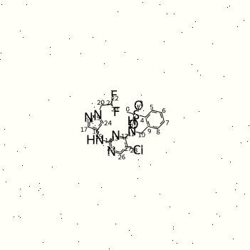 CS(=O)(=O)c1ccccc1CNc1nc(Nc2cnn(CC(F)F)c2)ncc1Cl